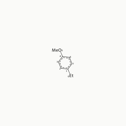 [CH2]Cc1ccc(OC)cc1